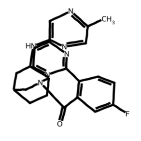 Cc1cnc(NC2CC3CCC2N(C(=O)c2cc(F)ccc2-c2ncccn2)C3)cn1